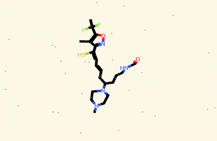 Cc1c(/C(S)=C/C=C/CC(CCCNC=O)N2CCN(C)CC2)noc1C(C)(F)F